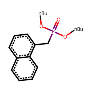 CCCCOP(=O)(Cc1cccc2ccccc12)OCCCC